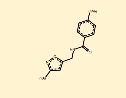 CCCCc1cc(CNC(=O)c2ccc(OC)cc2)on1